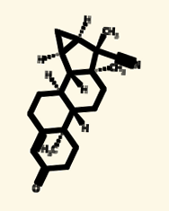 C[C@]12CCC(=O)C=C1CC[C@H]1[C@@H]3[C@H]4C[C@H]4[C@](C)(C#N)[C@@]3(C)CC[C@@H]12